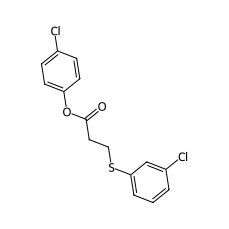 O=C(CCSc1cccc(Cl)c1)Oc1ccc(Cl)cc1